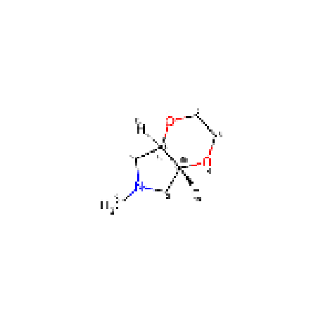 CN1C[C@H]2OCCO[C@@H]2C1